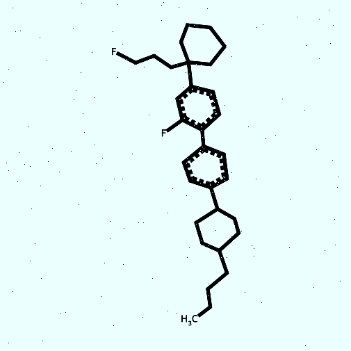 CCCCC1CCC(c2ccc(-c3ccc(C4(CCCF)CCCCC4)cc3F)cc2)CC1